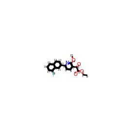 CCOC(=O)C(=O)c1ccc(-c2ccc3cccc(F)c3c2)nc1OC